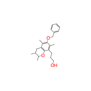 Cc1c(CCCO)c2c(c(C)c1OCc1ccccc1)CC(C)C(C)O2